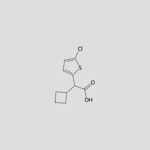 O=C(O)C(c1ccc(Cl)s1)C1CCC1